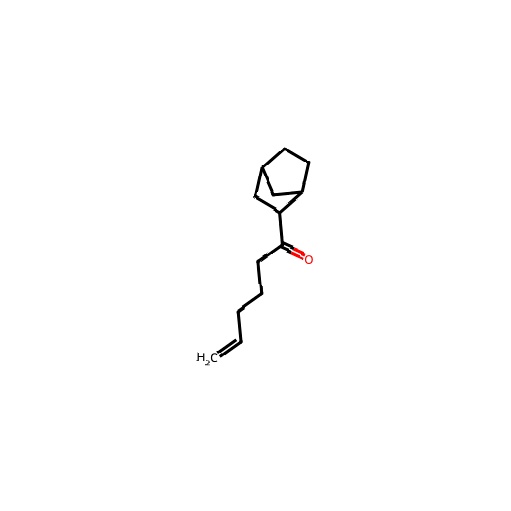 C=CCCCC(=O)C1CC2CCC1C2